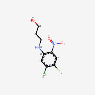 O=[N+]([O-])c1cc(F)c(Cl)cc1NCCCO